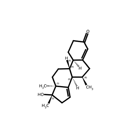 C[C@@H]1CC2=CC(=O)CC[C@@H]2[C@H]2CC[C@@]3(C)C(=CC[C@]3(C)O)[C@@H]21